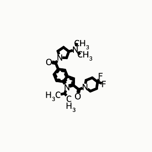 CC(C)n1c(C(=O)N2CCC(F)(F)CC2)cc2cc(C(=O)N3CCC(N(C)C)C3)ccc21